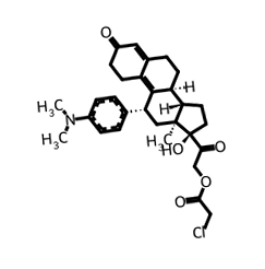 CN(C)c1ccc([C@H]2C[C@@]3(C)[C@@H](CC[C@]3(O)C(=O)COC(=O)CCl)[C@@H]3CCC4=CC(=O)CCC4=C32)cc1